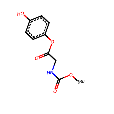 CC(C)(C)OC(=O)NCC(=O)Oc1ccc(O)cc1